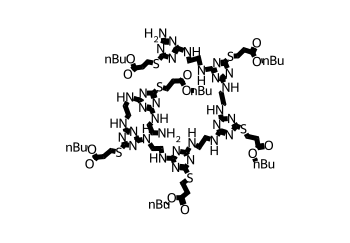 CCCCOC(=O)CCSc1nc(N)nc(NCCNc2nc(NCCNc3nc(NCCNc4nc(NCCNc5nc(NCCNc6nc(NCCN)nc(SCCC(=O)OCCCC)n6)nc(SCCC(=O)OCCCC)n5)nc(SCCC(=O)OCCCC)n4)nc(SCCC(=O)OCCCC)n3)nc(SCCC(=O)OCCCC)n2)n1